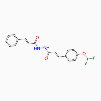 O=C(C=Cc1ccccc1)NNC(=O)/C=C/c1ccc(OC(F)F)cc1